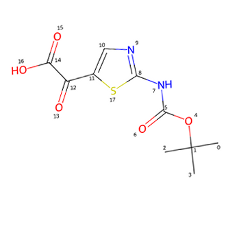 CC(C)(C)OC(=O)Nc1ncc(C(=O)C(=O)O)s1